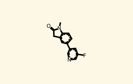 CN1C(=O)Cc2cc(-c3cncc(F)c3)ccc21